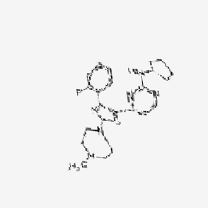 CN1CCN(c2nc(-c3ccccc3F)c(-c3ccnc(NC4CCCC4)n3)s2)CC1